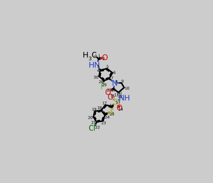 CC(=O)Nc1ccc(N2CC[C@H](NS(=O)(=O)c3cc4ccc(Cl)cc4s3)C2=O)c(F)c1